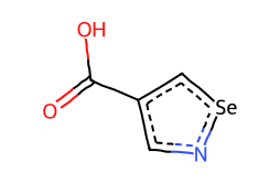 O=C(O)c1cn[se]c1